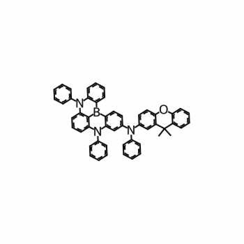 CC1(C)c2ccccc2Oc2ccc(N(c3ccccc3)c3ccc4c(c3)N(c3ccccc3)c3cccc5c3B4c3ccccc3N5c3ccccc3)cc21